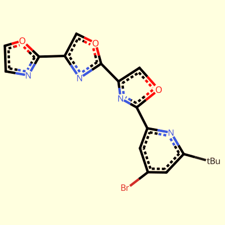 CC(C)(C)c1cc(Br)cc(-c2nc(-c3nc(-c4ncco4)co3)co2)n1